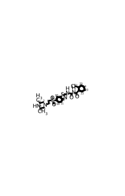 CC1CN(CCS(=O)(=O)c2ccc3nc(NC(=O)NC(=O)c4ccccc4Cl)sc3c2)CC(C)N1